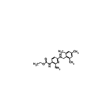 CCOC(=O)Nc1ccc(NCc2c(C)cc(C)cc2C)nc1N